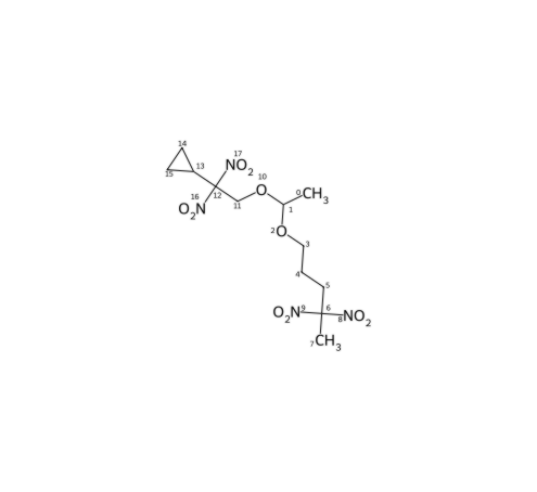 CC(OCCCC(C)([N+](=O)[O-])[N+](=O)[O-])OCC(C1CC1)([N+](=O)[O-])[N+](=O)[O-]